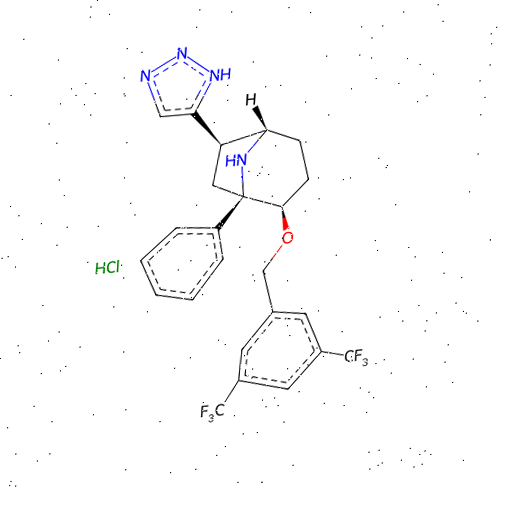 Cl.FC(F)(F)c1cc(CO[C@@H]2CC[C@@H]3N[C@@]2(c2ccccc2)C[C@H]3c2cnn[nH]2)cc(C(F)(F)F)c1